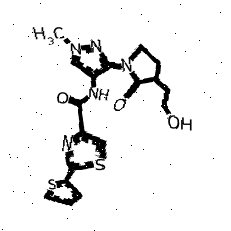 Cn1cc(NC(=O)c2csc(-c3cccs3)n2)c(N2CCC(CCO)C2=O)n1